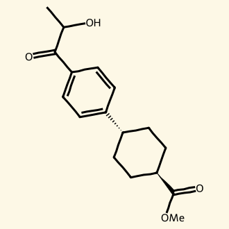 COC(=O)[C@H]1CC[C@H](c2ccc(C(=O)C(C)O)cc2)CC1